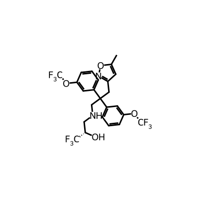 Cc1cc(CC(CNC[C@H](O)C(F)(F)F)(c2cccc(OC(F)(F)F)c2)c2cccc(OC(F)(F)F)c2)no1